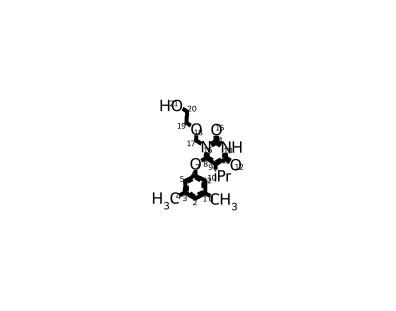 Cc1cc(C)cc(Oc2c(C(C)C)c(=O)[nH]c(=O)n2COCCO)c1